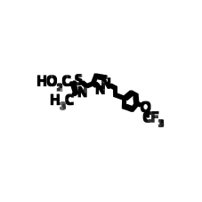 Cc1nc(-c2ccn(CCc3ccc(OC(F)(F)F)cc3)n2)sc1C(=O)O